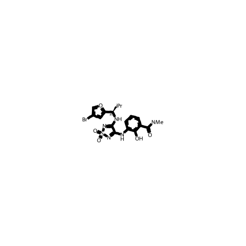 CNC(=O)c1cccc(NC2=NS(=O)(=O)N=C2N[C@@H](c2cc(Br)co2)C(C)C)c1O